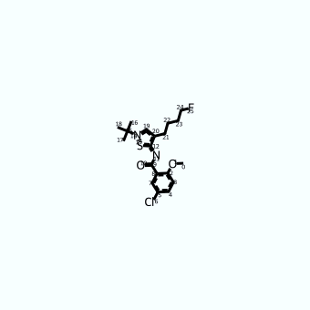 COc1ccc(Cl)cc1C(=O)/N=c1\sn(C(C)(C)C)cc1CCCCF